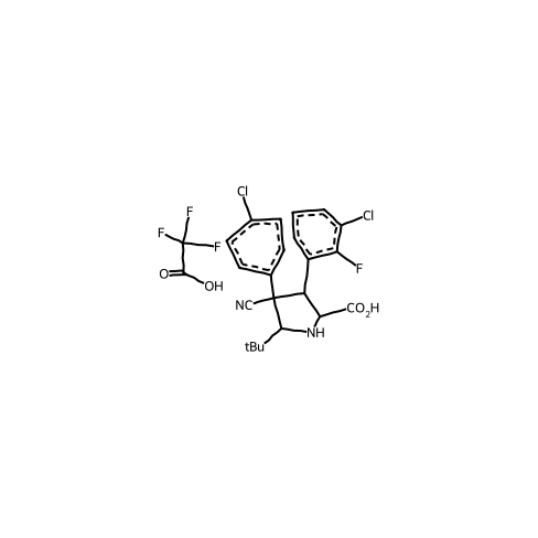 CC(C)(C)C1NC(C(=O)O)C(c2cccc(Cl)c2F)C1(C#N)c1ccc(Cl)cc1.O=C(O)C(F)(F)F